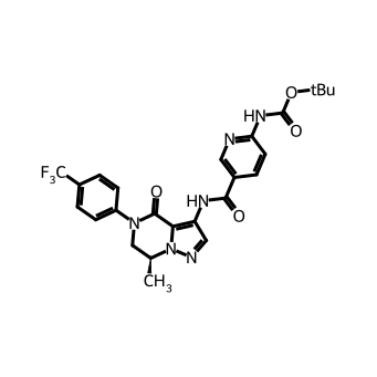 C[C@H]1CN(c2ccc(C(F)(F)F)cc2)C(=O)c2c(NC(=O)c3ccc(NC(=O)OC(C)(C)C)nc3)cnn21